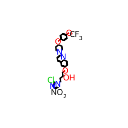 O=[N+]([O-])c1cn(CC[C@@H](O)COc2ccc3nc(N4CCC(Oc5ccc(OC(F)(F)F)cc5)CC4)ccc3c2)c(Cl)n1